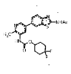 CC(=O)Nc1nc2ccc(-c3cnc(C)c(NC(=O)OC4CCC(F)(F)CC4)c3)cc2s1